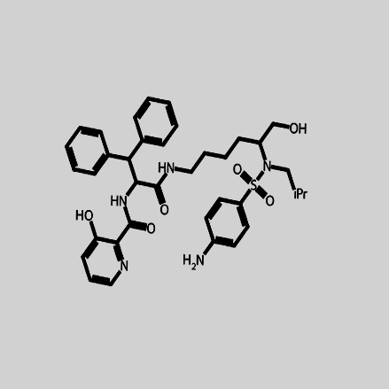 CC(C)CN(C(CO)CCCCNC(=O)C(NC(=O)c1ncccc1O)C(c1ccccc1)c1ccccc1)S(=O)(=O)c1ccc(N)cc1